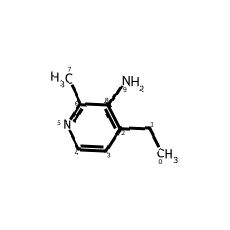 CCc1ccnc(C)c1N